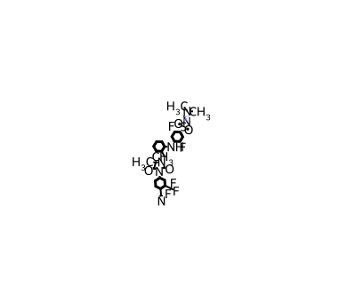 CN(C)/C=N/S(=O)(=O)c1cc(F)c(Nc2ccccc2CN2C(=O)N(c3ccc(C#N)c(C(F)(F)F)c3)C(=O)C2(C)C)cc1F